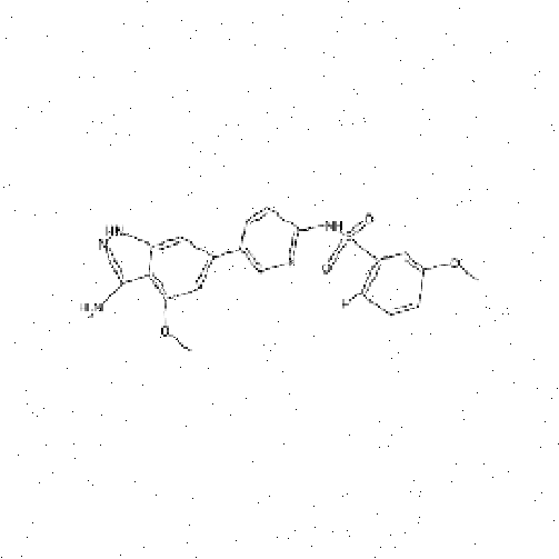 COc1ccc(F)c(S(=O)(=O)Nc2ccc(-c3cc(OC)c4c(N)n[nH]c4c3)cn2)c1